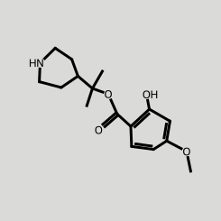 COc1ccc(C(=O)OC(C)(C)C2CCNCC2)c(O)c1